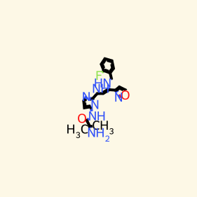 CC(C)(N)C(=O)Nc1ccnc(C(=N)/C=C(\NCc2ccccc2F)c2ccon2)n1